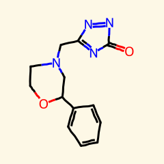 O=C1N=NC(CN2CCOC(c3ccccc3)C2)=N1